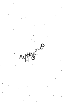 CC(=O)CNCCCN[C@H]1C(=O)C[C@@H](C)[C@@H]1/C=C/C(C)CCc1ccc2ccccc2c1